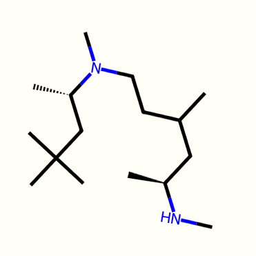 CN[C@@H](C)CC(C)CCN(C)[C@@H](C)CC(C)(C)C